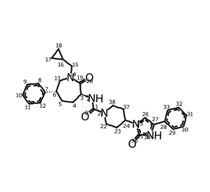 O=C(N[C@H]1CC[C@H](c2ccccc2)CN(CC2CC2)C1=O)N1CCC(n2cc(-c3ccccc3)[nH]c2=O)CC1